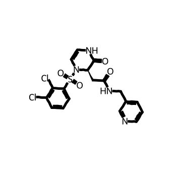 O=C(C[C@@H]1C(=O)NC=CN1S(=O)(=O)c1cccc(Cl)c1Cl)NCc1cccnc1